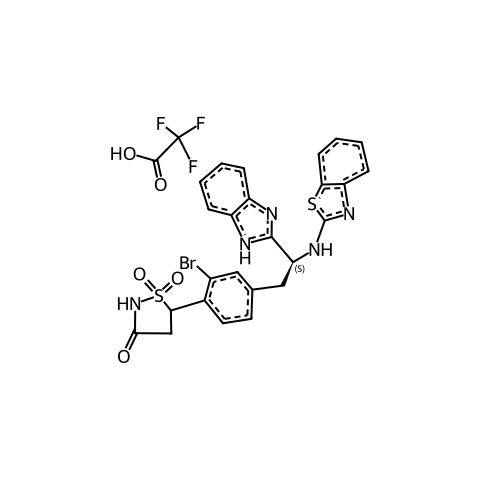 O=C(O)C(F)(F)F.O=C1CC(c2ccc(C[C@H](Nc3nc4ccccc4s3)c3nc4ccccc4[nH]3)cc2Br)S(=O)(=O)N1